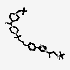 C[C@H](CNC(C)(C)C)n1cnc(-c2ccc(CCCC(C)(C)N3CCN(C(=O)C4CCN(CC(C)(C)C)CC4)CC3)cc2)c1